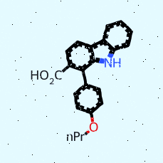 CCCOc1ccc(-c2c(C(=O)O)ccc3c2[nH]c2ccccc23)cc1